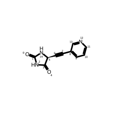 O=C1NC(=O)[C@H](C#Cc2cccnc2)N1